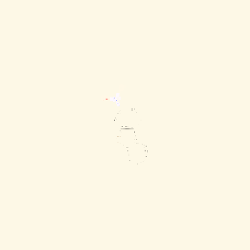 O=[N+]([O-])c1ccc2c(c1)sc1ccccc12